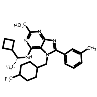 Cc1cccc(-c2nc3nc(C(=O)O)nc(N[C@H](C)C4CCC4)c3n2CC2CCC(C(F)(F)F)CC2)c1